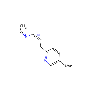 C/C=N\C=C/Cc1ccc(NC)cn1